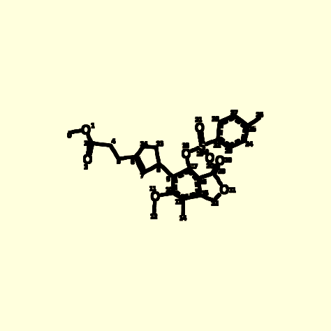 COC(=O)CCC1=CC(c2c(OC)c(C)c3c(c2OS(=O)(=O)c2ccc(C)cc2)C(=O)OC3)CC1